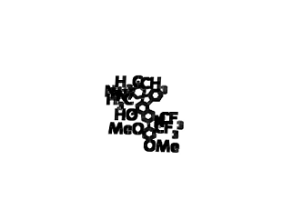 COc1ccc(-c2cc3c(O)cc4c(c3cc2N(C(F)(F)F)C(F)(F)F)-c2ccccc2C42CC(C)(C)CC(C)(CN=[N+]=[N-])C2)c(OC)c1